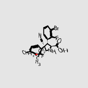 CC(C)(C)C[C@H]1N[C@H](C(=O)O)[C@@H](c2cccc(Br)c2F)[C@]1(C#N)c1ccc(Cl)cc1F